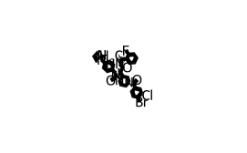 C[C@@H](NC(=O)c1c2n(c(=O)n1-c1ccc(-n3cccn3)cc1)CCN(C(=O)c1ccc(Br)c(Cl)c1)C2)c1ccccc1F